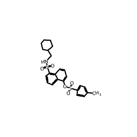 Cc1ccc(S(=O)(=O)Oc2cccc3c(S(=O)(=O)NCC4CCCCC4)cccc23)cc1